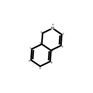 C1=CC2C[N]C=CC2=CC1